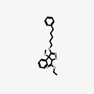 CCOC(=O)C1ON=C(OCCCCCc2ccccc2)C1(OC)c1ccccc1